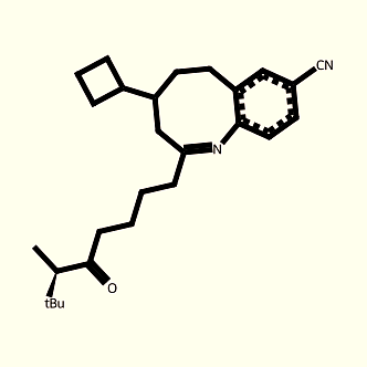 C[C@@H](C(=O)CCCC/C1=N/c2ccc(C#N)cc2CCC(C2CCC2)C1)C(C)(C)C